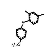 CSc1ccc(Sc2ccc(C)cc2C)cc1